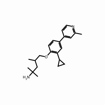 Cc1cc(-c2ccc(OCC(C)CC(C)(C)N)c(C3CC3)c2)ccn1